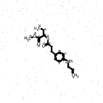 C=CCNc1ccc(CCC(=O)OC(CC)C(=O)OC)cc1